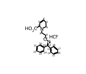 Cl.O=C(O)C1C=CCCN1CCON=C(c1ccccc1)c1ccccc1